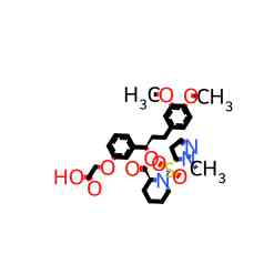 COc1ccc(CC[C@@H](OC(=O)[C@@H]2CCCCN2S(=O)(=O)C2CC=NN2C)c2cccc(OCC(=O)O)c2)cc1OC